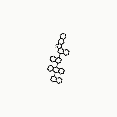 c1ccc2cc3c(cc2c1)sc1cc(-c2ccc(-c4c5ccccc5c(-c5cccc6ccccc56)c5ccccc45)c4ccccc24)c2ccccc2c13